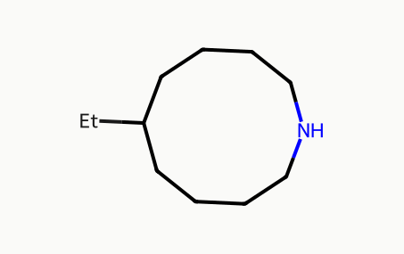 CCC1CCCCNCCCC1